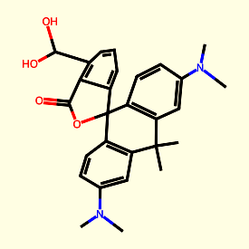 CN(C)c1ccc2c(c1)C(C)(C)c1cc(N(C)C)ccc1C21OC(=O)c2c(C(O)O)cccc21